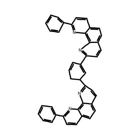 C1=CC(c2ccc3ccc4ccc(-c5ccccc5)nc4c3n2)=CC(c2ccc3ccc4ccc(-c5ccccc5)nc4c3n2)C1